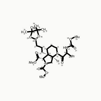 COC(=O)[C@H]1N(C(=O)OC(C)(C)C)C[C@@H]2N(C(=O)C(NC(=O)OC(C)(C)C)C(C)C)CCC[C@@]21CCCB1OC(C)(C)C(C)(C)O1